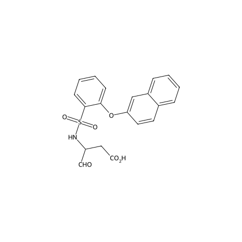 O=CC(CC(=O)O)NS(=O)(=O)c1ccccc1Oc1ccc2ccccc2c1